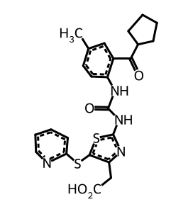 Cc1ccc(NC(=O)Nc2nc(CC(=O)O)c(Sc3ccccn3)s2)c(C(=O)C2CCCC2)c1